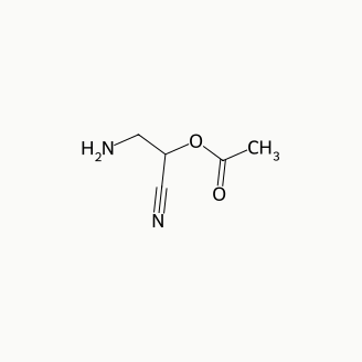 CC(=O)OC(C#N)CN